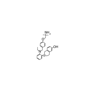 CCN(Cc1ccc(OCC(C)(C)N)cc1)c1ccccc1[C@@H]1CCc2cc(O)ccc2C1